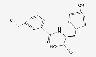 O=C(N[C@@H](Cc1ccc(O)cc1)C(=O)O)c1cccc(CCl)c1